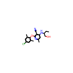 CCC(CO)Nc1cc(C)nc(Oc2c(C)cc(Cl)cc2C)c1C#N